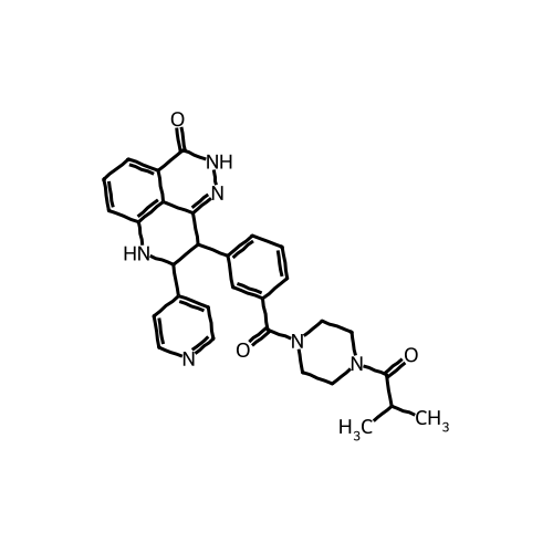 CC(C)C(=O)N1CCN(C(=O)c2cccc(C3c4n[nH]c(=O)c5cccc(c45)NC3c3ccncc3)c2)CC1